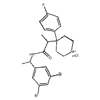 CC(NC(=O)C(C)C1(c2ccc(F)cc2)CCNCC1)c1cc(Br)cc(Br)c1.Cl